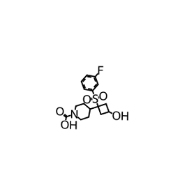 O=C(O)N1CCC(C2(S(=O)(=O)c3cccc(F)c3)CC(O)C2)CC1